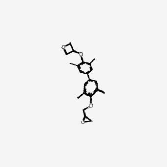 Cc1cc(-c2cc(C)c(OC3COC3)c(C)c2)cc(C)c1OCC1CO1